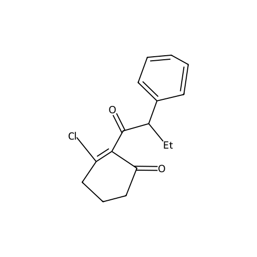 CCC(C(=O)C1=C(Cl)CCCC1=O)c1ccccc1